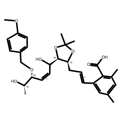 COc1ccc(CO[C@H](/C=C\C(O)[C@H]2OC(C)(C)O[C@H]2C/C=C/c2cc(C)cc(C)c2C(=O)O)[C@H](C)O)cc1